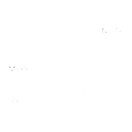 COc1cc2c(CCNC(C)=O)csc2cc1C=O